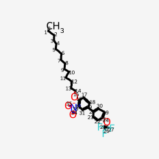 CCCCCCCCCCCCCCCOc1ccc(-c2ccc(OC(F)(F)F)cc2)cc1[N+](=O)[O-]